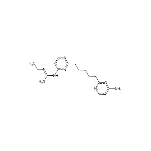 NC(=NCC(F)(F)F)Nc1ccnc(CCCCCc2nccc(N)n2)n1